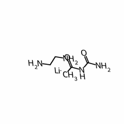 CC(=O)NC(N)=O.NCCN.[Li]